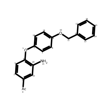 CC(=O)c1ccc(Oc2ccc(OCc3ccccc3)cc2)c(N)c1